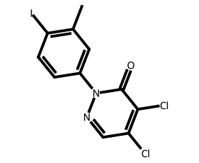 Cc1cc(-n2ncc(Cl)c(Cl)c2=O)ccc1I